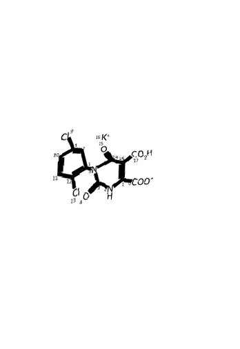 O=C([O-])c1[nH]c(=O)n(-c2cc(Cl)ccc2Cl)c(=O)c1C(=O)O.[K+]